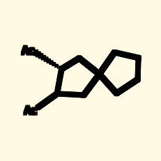 CC(=O)C1CC2(CCCC2)C[C@H]1C(C)=O